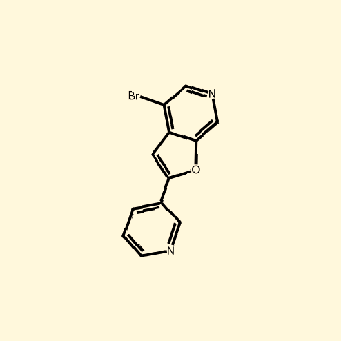 Brc1cncc2oc(-c3cccnc3)cc12